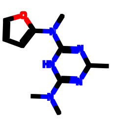 CC1N=C(N(C)C)NC(N(C)c2ccco2)=N1